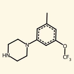 Cc1cc(OC(F)(F)F)cc(N2CCNCC2)c1